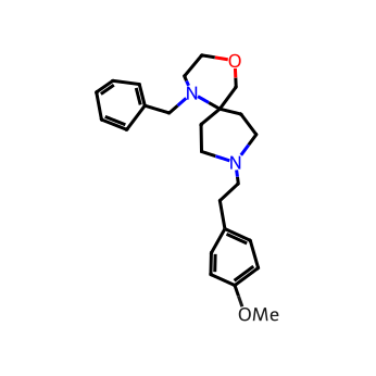 COc1ccc(CCN2CCC3(CC2)COCCN3Cc2ccccc2)cc1